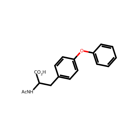 CC(=O)NC(Cc1ccc(Oc2ccccc2)cc1)C(=O)O